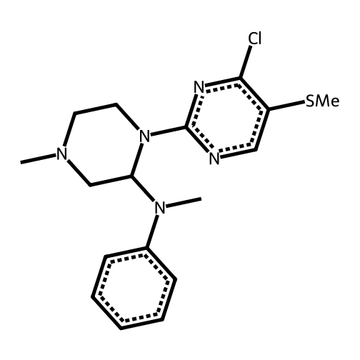 CSc1cnc(N2CCN(C)CC2N(C)c2ccccc2)nc1Cl